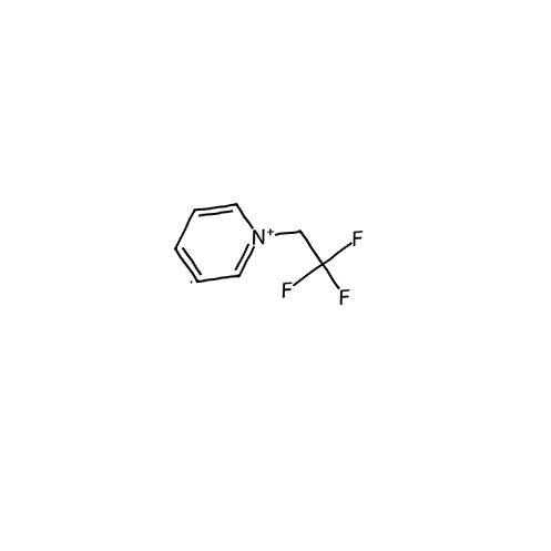 FC(F)(F)C[n+]1c[c]ccc1